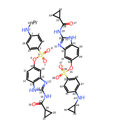 CCCNc1ccc(S(=O)(=O)Oc2ccc3[nH]c(NC(=O)C4CC4)nc3c2)cc1.O=C(Nc1nc2cc(OS(=O)(=O)c3ccc(NC4CC4)cc3)ccc2[nH]1)C1CC1